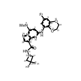 CNc1cc(Nc2cc(F)cc3c2OCCO3)nc2c(C(=O)NN3CC(F)(F)C3)cnn12